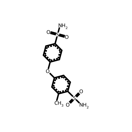 Cc1cc(Oc2ccc(S(N)(=O)=O)cc2)ccc1S(N)(=O)=O